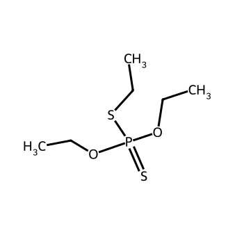 CCOP(=S)(OCC)SCC